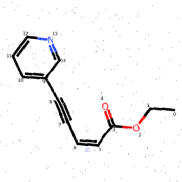 CCOC(=O)/C=C\C#Cc1cccnc1